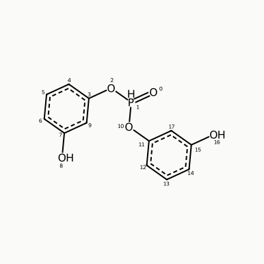 O=[PH](Oc1cccc(O)c1)Oc1cccc(O)c1